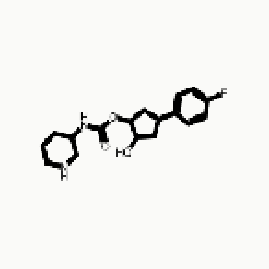 O=C(NC1CCCNC1)OC1CC(c2ccc(F)cc2)CC1O